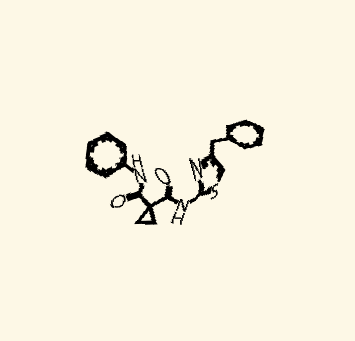 O=C(Nc1ccccc1)C1(C(=O)Nc2nc(Cc3ccccc3)cs2)CC1